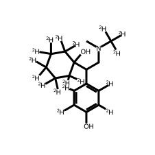 [2H]c1c([2H])c(C(CN(C)C([2H])([2H])[2H])C2(O)C([2H])([2H])C([2H])([2H])C([2H])([2H])C([2H])([2H])C2([2H])[2H])c([2H])c([2H])c1O